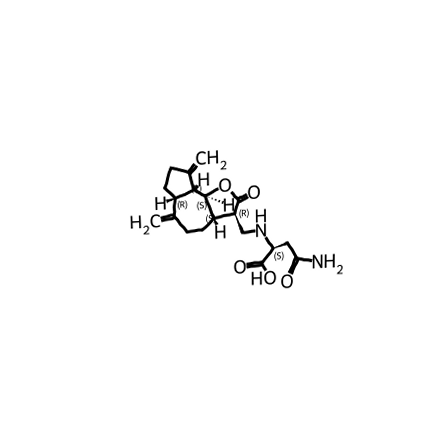 C=C1CC[C@H]2C(=C)CC[C@@H]3[C@H](OC(=O)[C@H]3CN[C@@H](CC(N)=O)C(=O)O)[C@@H]12